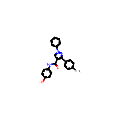 O=C(Nc1ccc(O)cc1)c1cn(-c2ccccc2)nc1-c1ccc([N+](=O)[O-])cc1